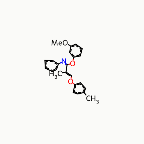 COc1cccc(OC(=Nc2ccccc2)C(C)=COc2ccc(C)cc2)c1